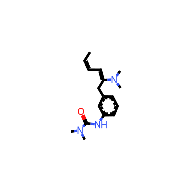 C/C=C\C=C(/Cc1cccc(NC(=O)N(C)C)c1)N(C)C